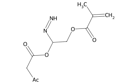 C=C(C)C(=O)OCC(N=N)OC(=O)CC(C)=O